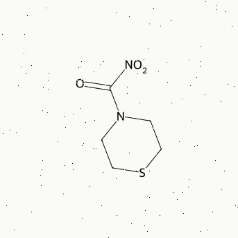 O=C(N1CCSCC1)[N+](=O)[O-]